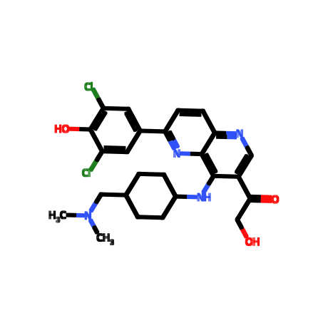 CN(C)CC1CCC(Nc2c(C(=O)CO)cnc3ccc(-c4cc(Cl)c(O)c(Cl)c4)nc23)CC1